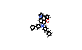 C1=CC(c2ccc(N(c3ccc(-c4ccccc4)cc3)C3C=c4oc5cccc(-c6cccnc6)c5c4=C4C=CCCC43)cc2)=CCC1